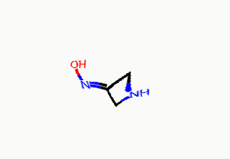 ON=C1CNC1